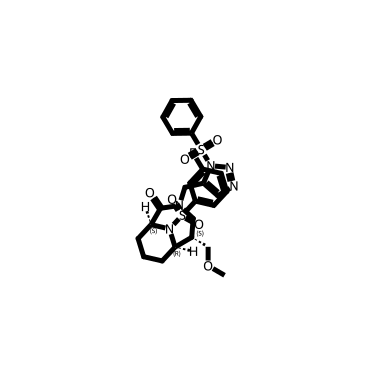 COC[C@H]1CN(Cc2cnnn2S(=O)(=O)c2ccccc2)C(=O)[C@@H]2CCC[C@H]1N2S(=O)(=O)c1cccc(F)c1